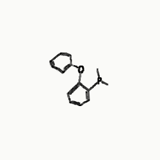 CP(C)c1ccccc1Oc1ccccc1